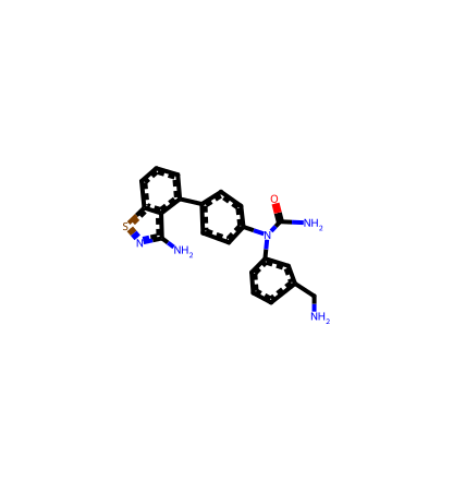 NCc1cccc(N(C(N)=O)c2ccc(-c3cccc4snc(N)c34)cc2)c1